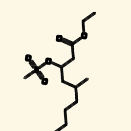 CCCCC(C)CC(CC(=O)OCC)OS(C)(=O)=O